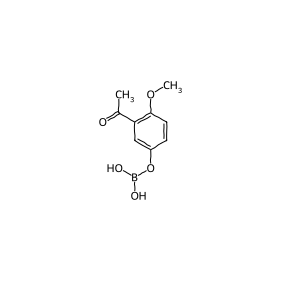 COc1ccc(OB(O)O)cc1C(C)=O